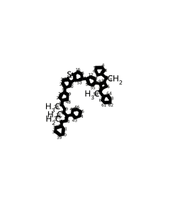 C=C(C1=CC=CCC1)C1=C(c2ccc(-c3ccc4sc5ccc(-c6ccc(C(C)CC(C)/C(=C\C(=C)c7ccccc7)c7ccccc7)cc6)cc5c4c3)cc2)/C(=C(\C)c2ccccc2)C1